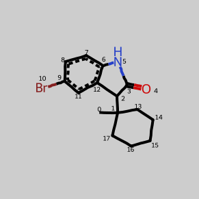 CC1(C2C(=O)Nc3ccc(Br)cc32)CCCCC1